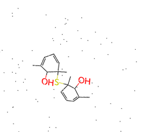 CC1=CC=CC(C)(SC2(C)C=CC=C(C)C2O)C1O